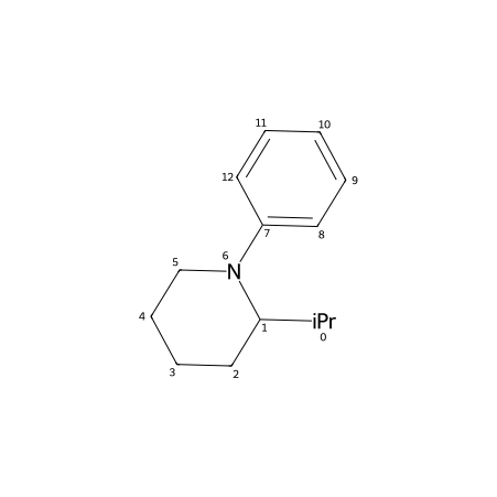 CC(C)C1CCCCN1c1ccccc1